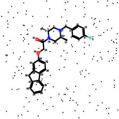 C[C@@H]1CN(Cc2ccc(F)cc2)[C@@H](C)CN1C(=O)COc1ccc2c(c1)Cc1ccccc1-2